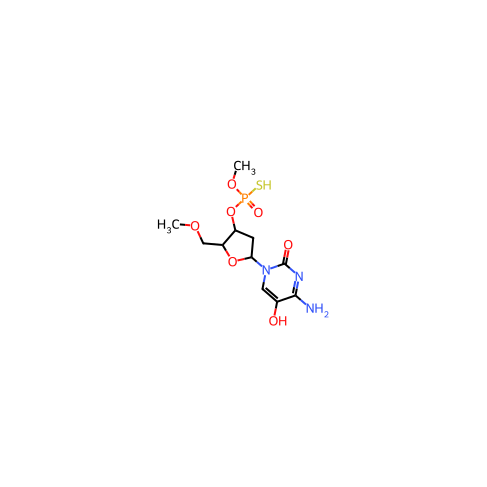 COCC1OC(n2cc(O)c(N)nc2=O)CC1OP(=O)(S)OC